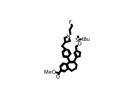 COC(=O)c1ccc2c(c1)CCCC(C1=CC(CO[Si](C)(C)C(C)(C)C)CC1)=C2c1ccc(CC2CN(CCCF)C2)cc1